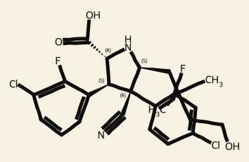 CC(C)(CCO)C[C@@H]1N[C@@H](C(=O)O)[C@H](c2cccc(Cl)c2F)[C@@]1(C#N)c1ccc(Cl)cc1F